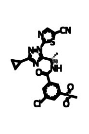 C[C@H](NC(=O)c1cc(Cl)cc(S(C)(=O)=O)c1)c1nc(C2CC2)nn1-c1ncc(C#N)s1